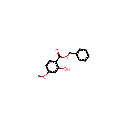 COc1ccc(C(=O)OCc2ccccc2)c(O)c1